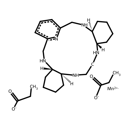 CCC(=O)[O-].CCC(=O)[O-].[Mn+2].c1cc2nc(c1)CN[C@H]1CCCC[C@@H]1NCCN[C@H]1CCCC[C@@H]1NC2